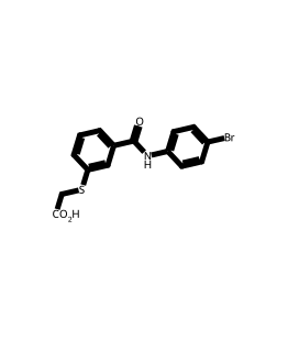 O=C(O)CSc1cccc(C(=O)Nc2ccc(Br)cc2)c1